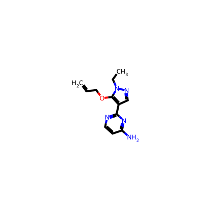 C=CCOc1c(-c2nccc(N)n2)cnn1CC